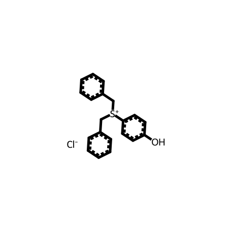 Oc1ccc([S+](Cc2ccccc2)Cc2ccccc2)cc1.[Cl-]